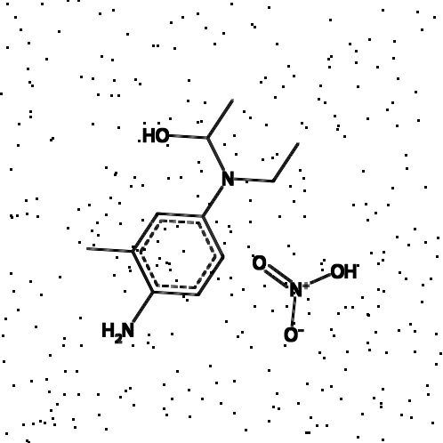 CCN(c1ccc(N)c(C)c1)C(C)O.O=[N+]([O-])O